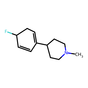 CN1CCC(C2=CCC(F)C=C2)CC1